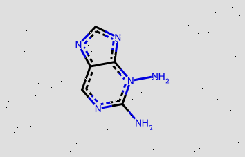 Nc1ncc2ncnc-2n1N